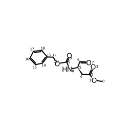 COC(=O)C[C@H](C=O)NC(=O)OCc1ccccc1